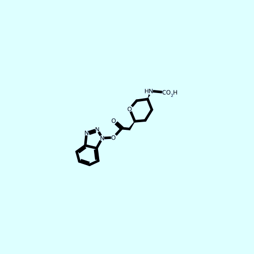 O=C(O)N[C@@H]1CC[C@@H](CC(=O)On2nnc3ccccc32)OC1